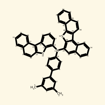 Cc1cc(C)cc(-c2ccc(N(c3cccc4c3sc3ccc5ccccc5c34)c3cc4ccccc4c4c3sc3c5ccccc5ccc34)cc2)c1